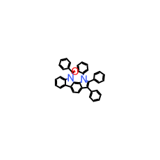 O=C(c1ccccc1)n1c2ccccc2c2ccc3c(-c4ccccc4)c(-c4ccccc4)n(-c4ccccc4)c3c21